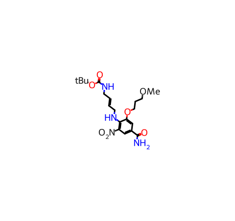 COCCCOc1cc(C(N)=O)cc([N+](=O)[O-])c1NCC=CCNC(=O)OC(C)(C)C